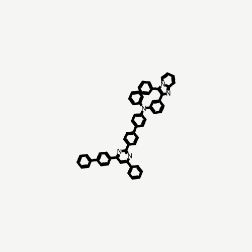 c1ccc(-c2ccc(-c3cc(-c4ccccc4)nc(-c4ccc(-c5ccc(N(c6ccccc6)c6cccc(-c7nc8ccccn8c7-c7ccccc7)c6)cc5)cc4)n3)cc2)cc1